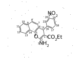 CCOC(=O)C1=C(N)Oc2c(ccc3ccccc23)C1c1cccc([N+](=O)[O-])c1